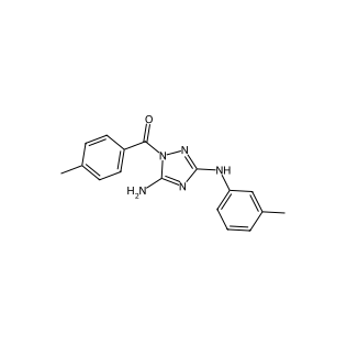 Cc1ccc(C(=O)n2nc(Nc3cccc(C)c3)nc2N)cc1